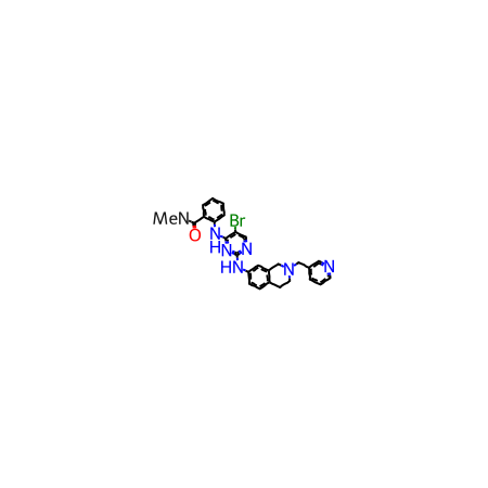 CNC(=O)c1ccccc1Nc1nc(Nc2ccc3c(c2)CN(Cc2cccnc2)CC3)ncc1Br